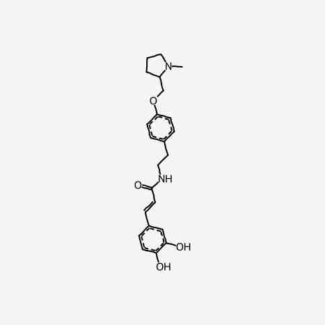 CN1CCCC1COc1ccc(CCNC(=O)/C=C/c2ccc(O)c(O)c2)cc1